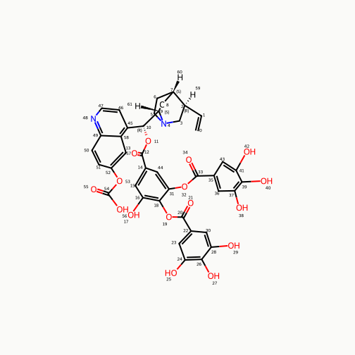 C=C[C@H]1CN2CC[C@H]1C[C@H]2[C@H](OC(=O)c1cc(O)c(OC(=O)c2cc(O)c(O)c(O)c2)c(OC(=O)c2cc(O)c(O)c(O)c2)c1)c1ccnc2ccc(OC(=O)O)cc12